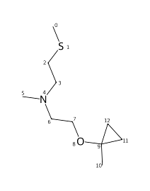 CSCCN(C)CCOC1(C)CC1